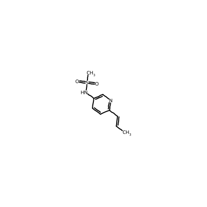 C/C=C/c1ccc(NS(C)(=O)=O)cn1